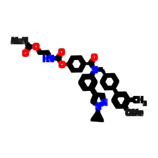 CNC(=O)OCCNC(=O)O[C@H]1CC[C@H](C(=O)N(C[C@H]2CC[C@H](c3ccc(OC)c(C)c3)CC2)c2cccc(-c3cnn(C4CC4)c3)c2)CC1